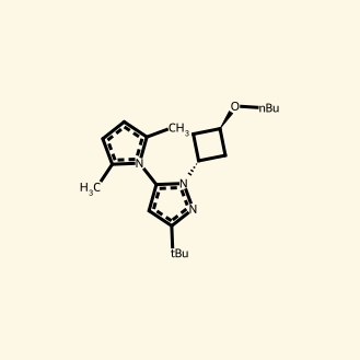 CCCCO[C@H]1C[C@H](n2nc(C(C)(C)C)cc2-n2c(C)ccc2C)C1